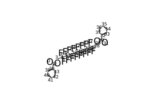 O=C(OCC(F)(F)C(F)(F)C(F)(F)C(F)(F)C(F)(F)C(F)(F)C(F)(F)C(F)(F)COC(=O)c1ccccc1)c1ccccc1